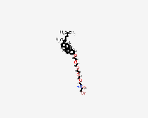 CC(C)CCC[C@@H](C)C1CC[C@H]2[C@@H]3CC=C4C[C@@H](OCCOCCOCCOCCOCCNC(=O)CBr)CC[C@]4(C)[C@H]3CC[C@]12C